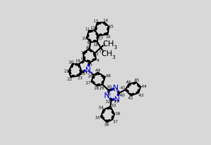 CC1(C)c2cc3c(cc2-c2ccc4ccccc4c21)c1ccccc1n3-c1ccc(-c2nc(-c3ccccc3)nc(-c3ccccc3)n2)cc1